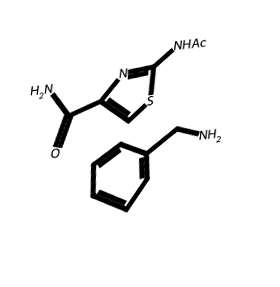 CC(=O)Nc1nc(C(N)=O)cs1.NCc1ccccc1